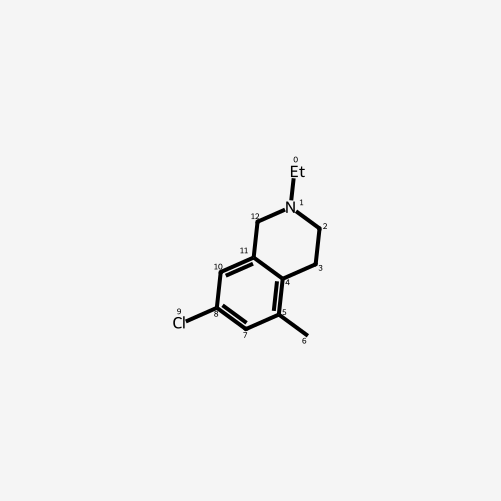 CCN1CCc2c(C)cc(Cl)cc2C1